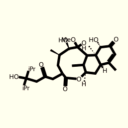 COC1(O)C2C(C)[C@@H](C[C@H]3C(C)=CC(=O)[C@@H](O)[C@]23C)OC(=O)C(CC(=O)CC(O)(C(C)C)C(C)C)C[C@@H](C)[C@H]1O